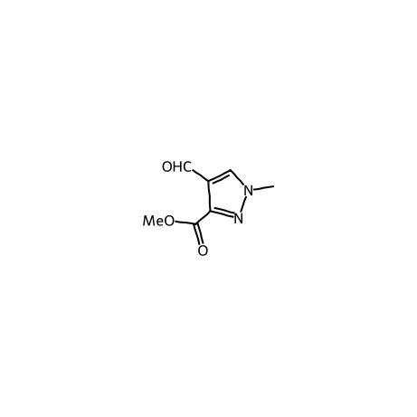 COC(=O)c1nn(C)cc1C=O